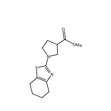 COC(=O)C1CCN(c2nc3c(s2)CCCC3)C1